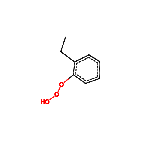 CCc1ccccc1OOO